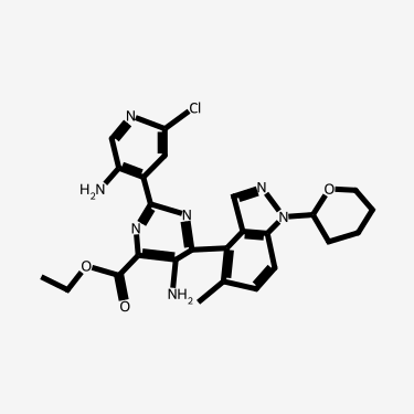 CCOC(=O)c1nc(-c2cc(Cl)ncc2N)nc(-c2c(C)ccc3c2cnn3C2CCCCO2)c1N